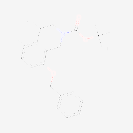 CC1CN(C(=O)OC(C)(C)C)Cc2c(OCc3ccccc3)ccc(F)c21